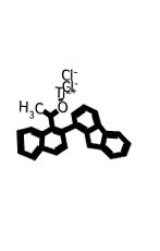 CC([O][Ti+2])c1c(-c2cccc3c2Cc2ccccc2-3)ccc2ccccc12.[Cl-].[Cl-]